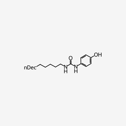 CCCCCCCCCCCCCCCNC(=O)Nc1ccc(O)cc1